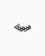 CC1(C)CC(=O)C2=C(C1)Oc1ccc3c(=O)c(-c4ccc5c(c4)OCO5)coc3c1C2